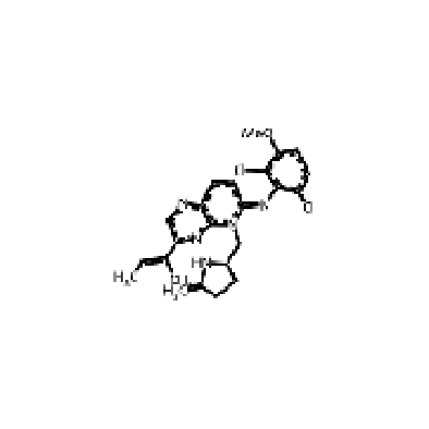 C=C1CCC(Cn2/c(=N/c3c(Cl)ccc(OC)c3Cl)ccc3ncc(/C(C)=C/C)nc32)N1